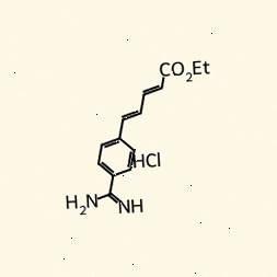 CCOC(=O)/C=C/C=C/c1ccc(C(=N)N)cc1.Cl